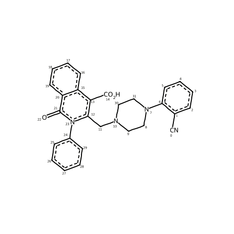 N#Cc1ccccc1N1CCN(Cc2c(C(=O)O)c3ccccc3c(=O)n2-c2ccccc2)CC1